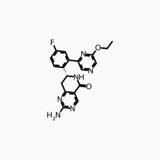 CCOc1cncc(-c2cc(F)ccc2[C@H]2Cc3nc(N)ncc3C(=O)N2)n1